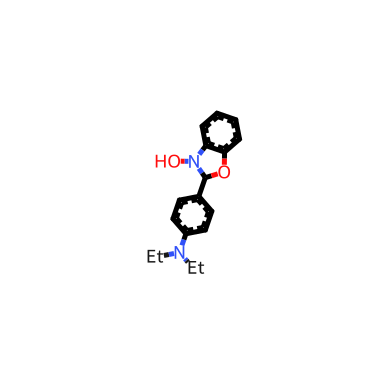 CCN(CC)c1ccc(C2Oc3ccccc3N2O)cc1